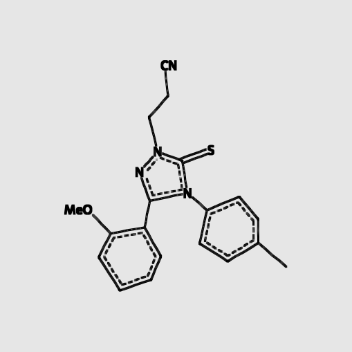 COc1ccccc1-c1nn(CCC#N)c(=S)n1-c1ccc(C)cc1